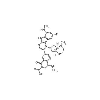 CNc1cc(F)cc2c1[nH]c1ncc(-c3cnc4c(c3)c(=O)c(C(=O)O)cn4NC)c(N3C[C@@H]4OCCN(C)[C@@H]4C3)c12